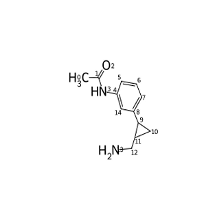 CC(=O)Nc1cccc(C2CC2CN)c1